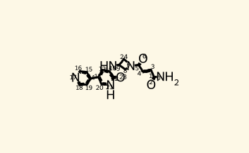 NC(=O)/C=C/C(=O)N1CC(Nc2cc(-c3ccncc3)c[nH]c2=O)C1